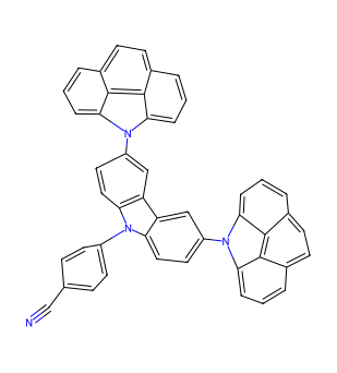 N#Cc1ccc(-n2c3ccc(-n4c5cccc6ccc7cccc4c7c65)cc3c3cc(-n4c5cccc6ccc7cccc4c7c65)ccc32)cc1